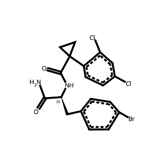 NC(=O)[C@H](Cc1ccc(Br)cc1)NC(=O)C1(c2ccc(Cl)cc2Cl)CC1